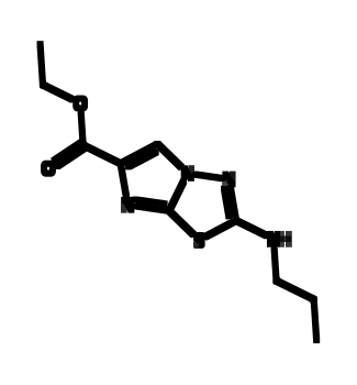 CCCNc1nn2cc(C(=O)OCC)nc2s1